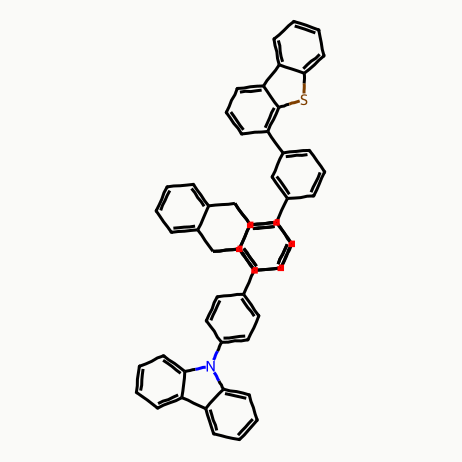 c1cc(-c2ccc(-c3ccc(-n4c5ccccc5c5ccccc54)cc3)c3c2C2c4ccccc4C3c3ccccc32)cc(-c2cccc3c2sc2ccccc23)c1